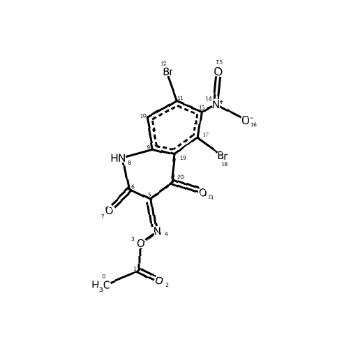 CC(=O)ON=C1C(=O)Nc2cc(Br)c([N+](=O)[O-])c(Br)c2C1=O